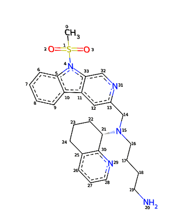 CS(=O)(=O)n1c2ccccc2c2cc(CN(CCCCN)[C@H]3CCCc4cccnc43)ncc21